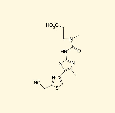 Cc1nc(NC(=O)N(C)CCC(=O)O)sc1-c1csc(CC#N)n1